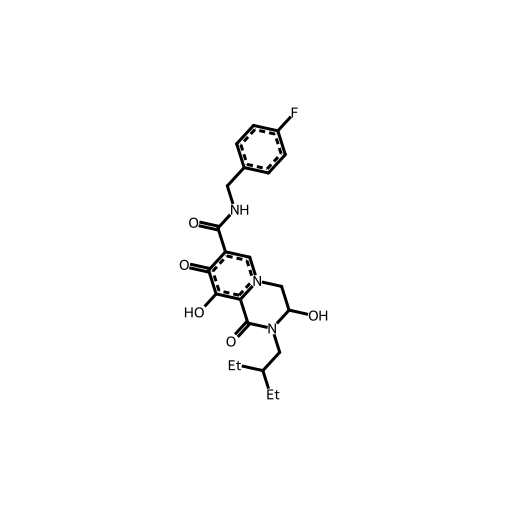 CCC(CC)CN1C(=O)c2c(O)c(=O)c(C(=O)NCc3ccc(F)cc3)cn2CC1O